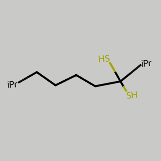 CC(C)CCCCC(S)(S)C(C)C